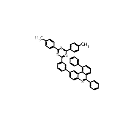 Cc1ccc(-c2nc(-c3ccc(C)cc3)nc(-c3cccc(-c4ccc5nc(-c6ccccc6)c6cccc(-c7ccccc7)c6c5c4)c3)n2)cc1